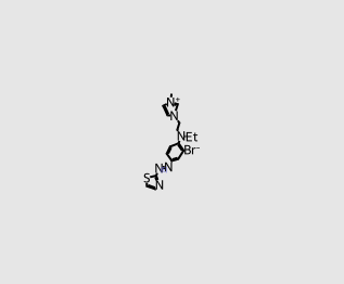 CCN(CCn1cc[n+](C)c1)c1ccc(/N=N/c2nccs2)cc1.[Br-]